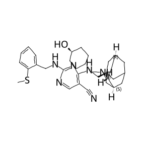 CSc1ccccc1CNc1ncc(C#N)c(NC[C@]23CC4C[C@H](C2)[C@@H](NC[C@H]2CC[C@H](O)CC2)[C@@H](C4)C3)n1